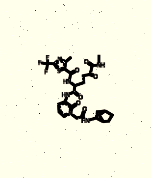 CNC(=O)C(=O)CCC(NC(=O)c1sc(C(F)(F)F)nc1C)C(=O)Nc1cccn(CC(=O)NC2CC3CCC2C3)c1=O